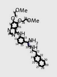 COCCOc1cc2ncnc(Nc3cccc(/C(N)=C/NCCc4ccc5ccccc5c4)c3)c2cc1OCCOC